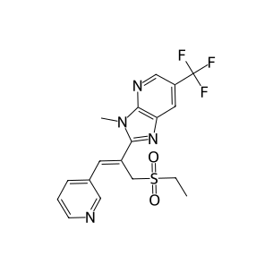 CCS(=O)(=O)C/C(=C\c1cccnc1)c1nc2cc(C(F)(F)F)cnc2n1C